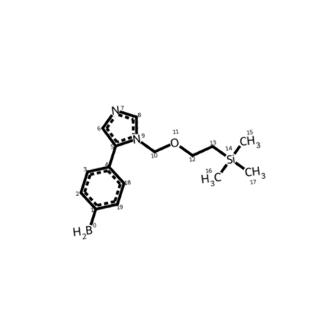 Bc1ccc(-c2cncn2COCC[Si](C)(C)C)cc1